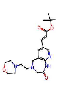 CC(C)(C)OC(=O)C=Cc1cnc2c(c1)CN(CCN1CCOCC1)CC(=O)N2